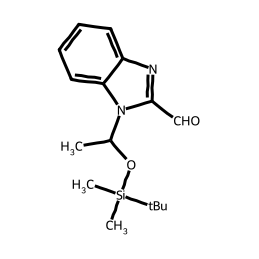 CC(O[Si](C)(C)C(C)(C)C)n1c(C=O)nc2ccccc21